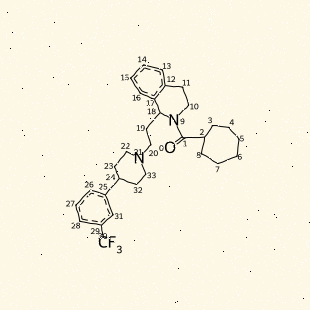 O=C(C1CCCCCC1)N1CCc2ccccc2C1CCN1CCC(c2cccc(C(F)(F)F)c2)CC1